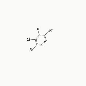 CC(C)c1ccc(Br)c(Cl)c1F